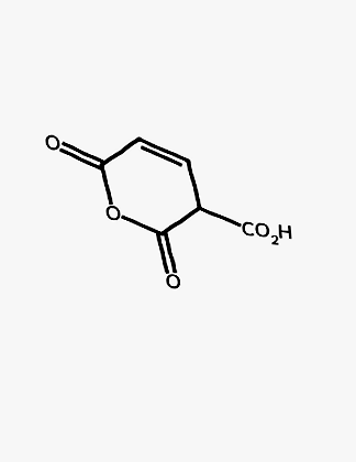 O=C1C=CC(C(=O)O)C(=O)O1